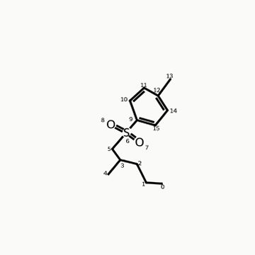 CCC[C](C)CS(=O)(=O)c1ccc(C)cc1